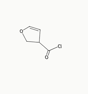 O=C(Cl)C1C=COC1